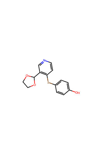 Oc1ccc(Sc2ccncc2C2OCCO2)cc1